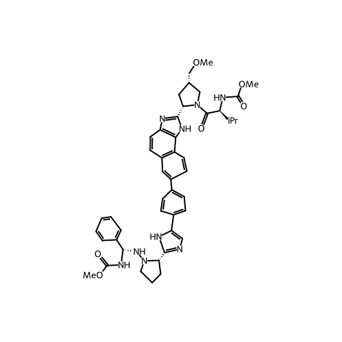 COC[C@H]1C[C@@H](c2nc3ccc4cc(-c5ccc(-c6cnc([C@@H]7CCCN7N[C@H](NC(=O)OC)c7ccccc7)[nH]6)cc5)ccc4c3[nH]2)N(C(=O)[C@@H](NC(=O)OC)C(C)C)C1